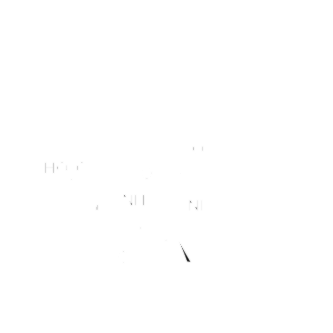 C[C@@H](NC(=O)[C@H](Cc1ccccc1)NC(=O)OCc1ccccc1)C(=O)O